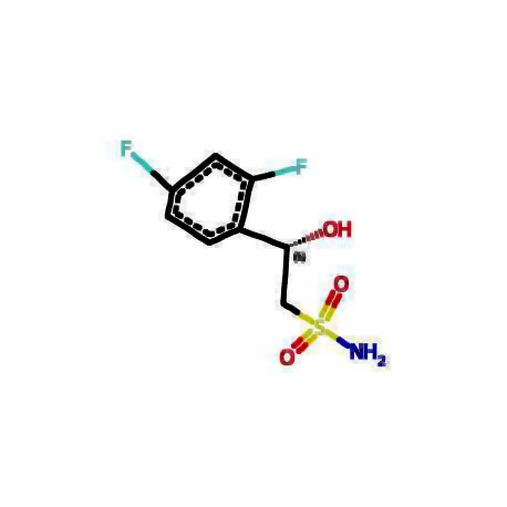 NS(=O)(=O)C[C@@H](O)c1ccc(F)cc1F